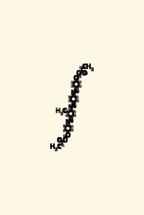 C=CC(=O)OCOc1ccc(N=Nc2ccc(N=Nc3ccc(N=Nc4ccc(OCOC(=O)CC)cc4)cc3)c(C)c2)cc1